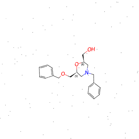 OC[C@H]1CN(Cc2ccccc2)C[C@@H](COCc2ccccc2)O1